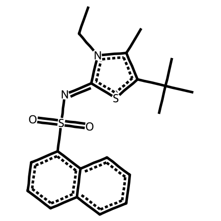 CCn1c(C)c(C(C)(C)C)s/c1=N\S(=O)(=O)c1cccc2ccccc12